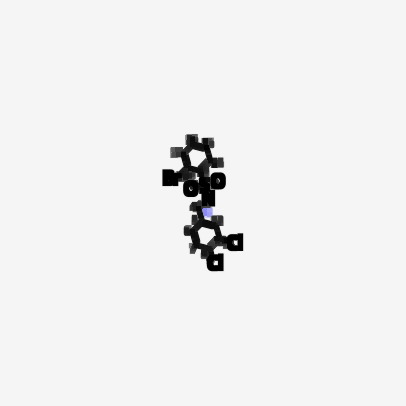 O=S(=O)(/N=C/c1ccc(Cl)c(Cl)c1)c1ccccc1Br